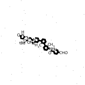 Cc1c(NC(=O)c2ccc(C=O)cn2)cccc1-c1cccc(-c2ccn3c(CN(C[C@@H]4CCC(=O)N4)C(=O)OC(C)(C)C)nnc3c2)c1C